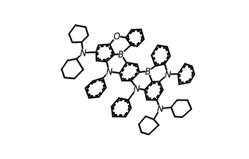 c1ccc(N2c3cc4c(cc3B3c5ccccc5Oc5cc(N(C6CCCCC6)C6CCCCC6)cc2c53)B2c3ccccc3N(c3ccccc3)c3cc(N(C5CCCCC5)C5CCCCC5)cc(c32)N4c2ccccc2)cc1